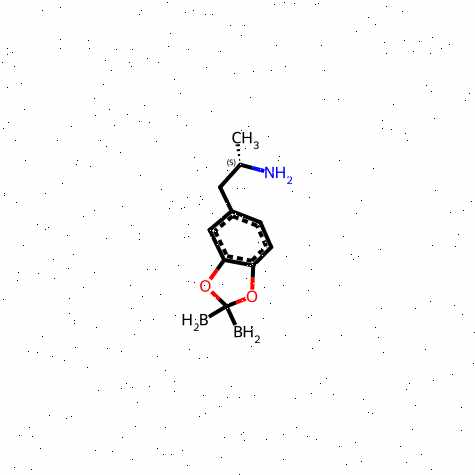 BC1(B)Oc2ccc(C[C@H](C)N)cc2O1